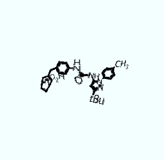 Cc1ccc(-n2nc(C(C)(C)C)cc2NC(=O)Nc2ccc(CC3CC4CCC(C3)N4C(=O)O)cc2)cc1